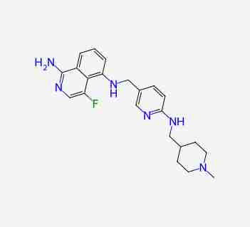 CN1CCC(CNc2ccc(CNc3cccc4c(N)ncc(F)c34)cn2)CC1